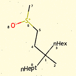 CCCCCCCC(C)(CCCCCC)CC[S+](C)[O-]